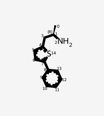 C[C@@H](N)Cc1ccc(-c2ccccc2)s1